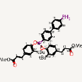 COC(=O)CCc1ccc(OP(Oc2ccc(CCC(=O)OC)cc2C(C)(C)C)c2ccc(-c3ccc(P)cc3)cc2)c(C(C)(C)C)c1